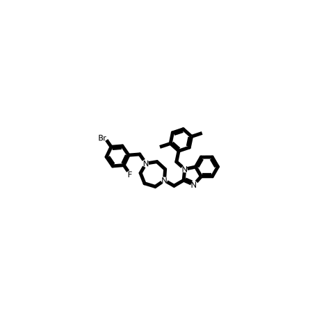 Cc1ccc(C)c(Cn2c(CN3CCCN(Cc4cc(Br)ccc4F)CC3)nc3ccccc32)c1